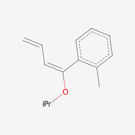 C=C/C=C(/OC(C)C)c1ccccc1C